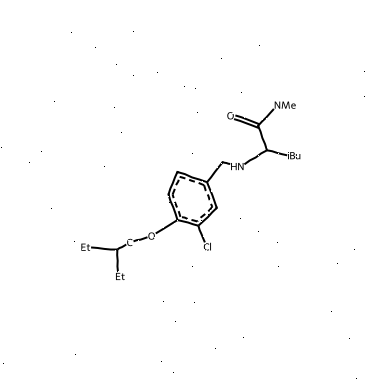 CCC(CC)COc1ccc(CNC(C(=O)NC)C(C)CC)cc1Cl